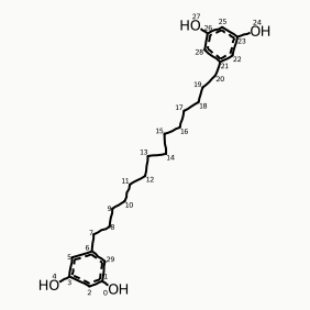 Oc1cc(O)cc(CCCCCCCCCCCCCCc2cc(O)cc(O)c2)c1